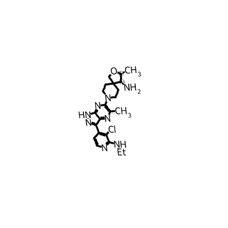 CCNc1nccc(-c2n[nH]c3nc(N4CCC5(CC4)CO[C@@H](C)[C@H]5N)c(C)nc23)c1Cl